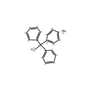 PC(c1ccccc1)(c1ccccc1)c1ccccc1.[Na]